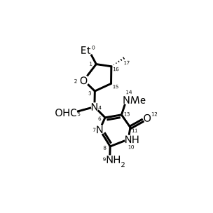 CCC1OC(N(C=O)c2nc(N)[nH]c(=O)c2NC)C[C@H]1C